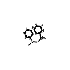 CN(C)c1ccccc1.CN(C)c1ccccn1